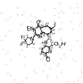 CCn1c(N2CCC(F)(F)C2)nc2c([C@@H](C)Nc3ccc(Cl)nc3C(=O)O)cc(C)cc2c1=O